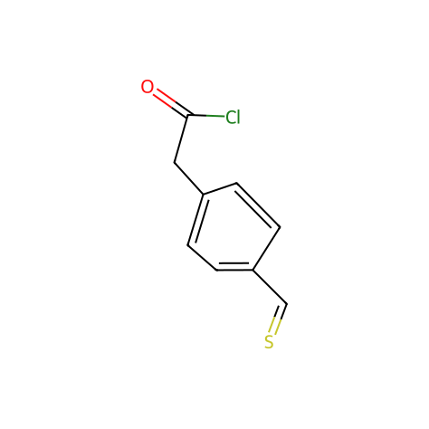 O=C(Cl)Cc1ccc(C=S)cc1